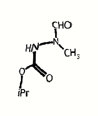 CC(C)OC(=O)NN(C)C=O